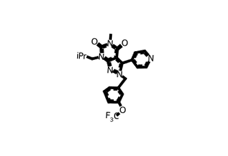 CC(C)Cn1c(=O)n(C)c(=O)c2c(-c3ccncc3)n(Cc3cccc(OC(F)(F)F)c3)nc21